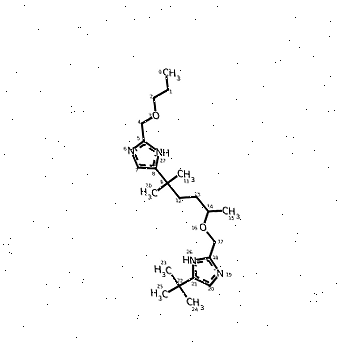 CCCOCc1ncc(C(C)(C)CCC(C)OCc2ncc(C(C)(C)C)[nH]2)[nH]1